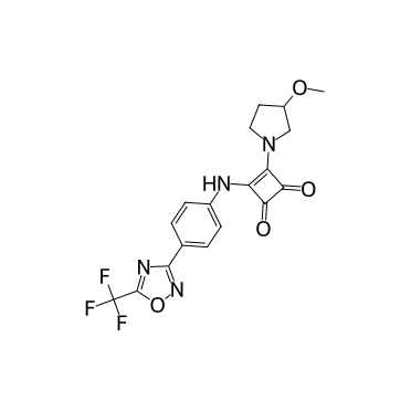 COC1CCN(c2c(Nc3ccc(-c4noc(C(F)(F)F)n4)cc3)c(=O)c2=O)C1